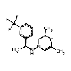 CC1=CN(NC(C)c2cccc(C(F)(F)F)c2)C[C@@H](C)O1